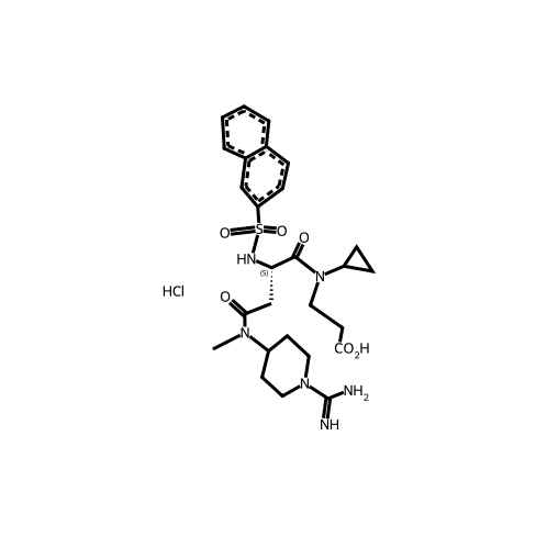 CN(C(=O)C[C@H](NS(=O)(=O)c1ccc2ccccc2c1)C(=O)N(CCC(=O)O)C1CC1)C1CCN(C(=N)N)CC1.Cl